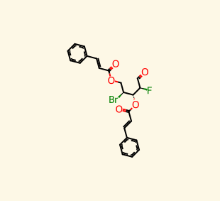 O=C[C@@H](F)[C@H](OC(=O)/C=C/c1ccccc1)[C@@H](Br)COC(=O)/C=C/c1ccccc1